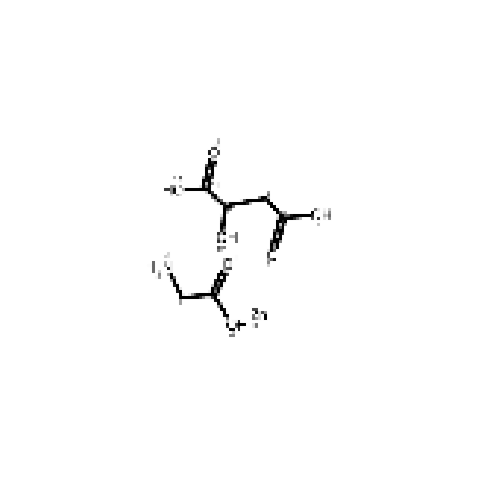 NCC(=O)O.O=C(O)CC(O)C(=O)O.[Zn]